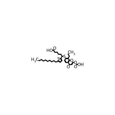 CCCCCCCCCCc1ccc(C(CCCCC(=O)O)Sc2ccc3c(=O)cc(OC(=O)O)oc3c2CCC)s1